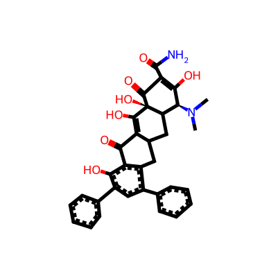 CN(C)[C@@H]1C(O)=C(C(N)=O)C(=O)[C@@]2(O)C(O)=C3C(=O)c4c(O)c(-c5ccccc5)cc(-c5ccccc5)c4CC3CC12